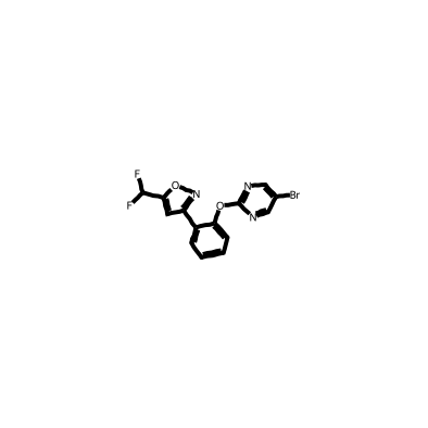 FC(F)c1cc(-c2ccccc2Oc2ncc(Br)cn2)no1